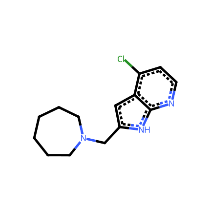 Clc1ccnc2[nH]c(CN3CCCCCC3)cc12